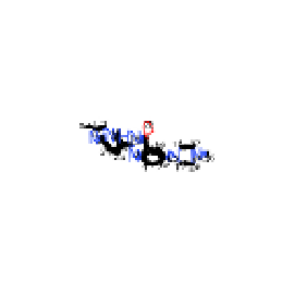 Cc1cn2cc(-c3nc4ccc(N5CCN(C)CC5)cc4c(=O)[nH]3)ccc2n1